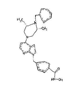 C[C@@H]1CN(c2ccnc3c2ccn3Cc2ccc(C(=O)NO)cc2)C[C@H](C)N1Cc1ccccc1